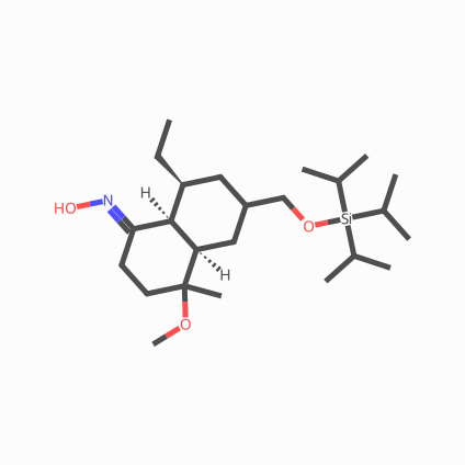 CC[C@H]1CC(CO[Si](C(C)C)(C(C)C)C(C)C)C[C@@H]2[C@H]1/C(=N/O)CCC2(C)OC